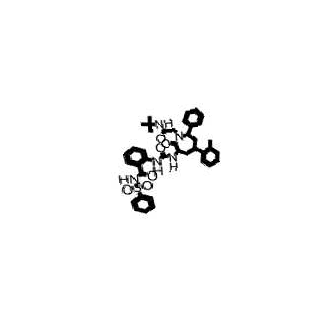 Cc1ccccc1C1CC(NC(=O)Nc2ccccc2C(=O)NS(=O)(=O)c2ccccc2)C(=O)N(CC(=O)NC(C)(C)C)C(c2ccccc2)C1